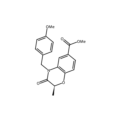 COC(=O)c1ccc2c(c1)N(Cc1ccc(OC)cc1)C(=O)[C@H](C)O2